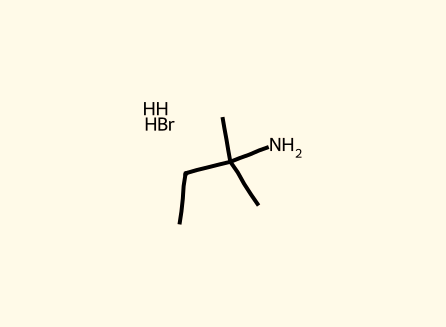 Br.CCC(C)(C)N.[HH]